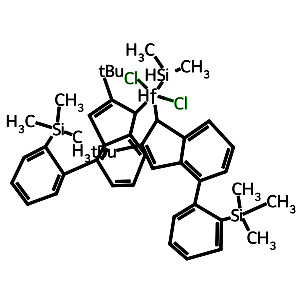 C[SiH](C)[Hf]([Cl])([Cl])([CH]1C(C(C)(C)C)=Cc2c(-c3ccccc3[Si](C)(C)C)cccc21)[CH]1C(C(C)(C)C)=Cc2c(-c3ccccc3[Si](C)(C)C)cccc21